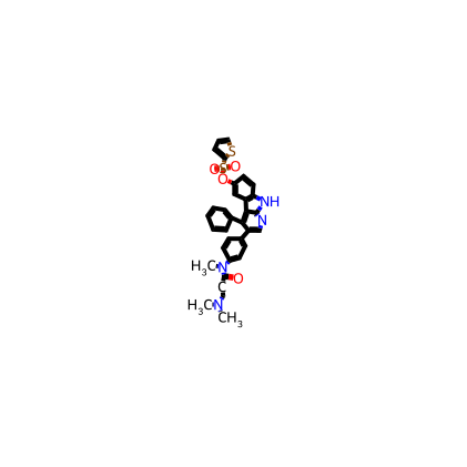 CN(C)CCC(=O)N(C)c1ccc(-c2cnc3[nH]c4ccc(OS(=O)(=O)c5cccs5)cc4c3c2-c2ccccc2)cc1